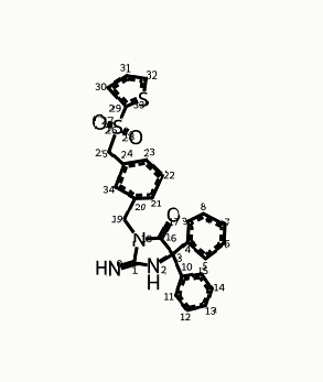 N=C1NC(c2ccccc2)(c2ccccc2)C(=O)N1Cc1cccc(CS(=O)(=O)c2cccs2)c1